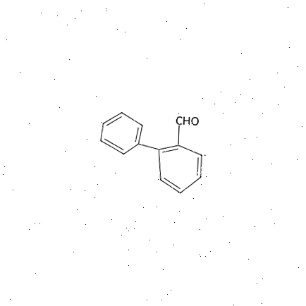 O=Cc1[c]cccc1-c1ccccc1